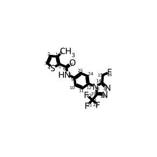 Cc1ccsc1C(=O)Nc1ccc(-n2c(CF)nnc2C(F)(F)F)cc1